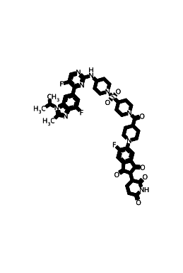 Cc1nc2c(F)cc(-c3nc(NC4CCN(S(=O)(=O)C5CCN(C(=O)C6CCN(c7cc8c(cc7F)C(=O)C(C7CCC(=O)NC7=O)C8=O)CC6)CC5)CC4)ncc3F)cc2n1C(C)C